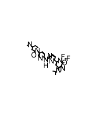 CC(C)n1cnc2c(OC(F)F)nc(-c3ccnc(Nc4ccc(N5CCC(N(C)C)CC5=O)cn4)n3)cc21